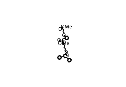 COC(=O)CCCOc1ccccc1CC(OCCCCCOc1cc(-c2ccccc2)cc(-c2ccccc2)n1)C(=O)OC